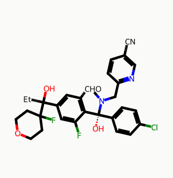 CCC(O)(c1cc(F)c([C@](O)(c2ccc(Cl)cc2)N(C)Cc2ccc(C#N)cn2)c(C=O)c1)C1(F)CCOCC1